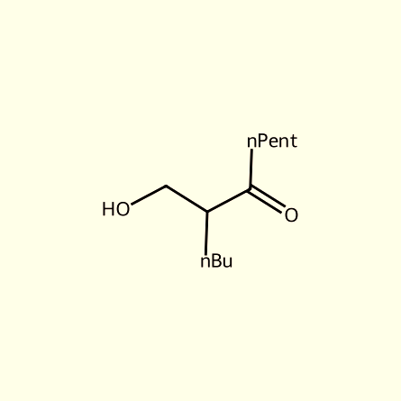 CCCCCC(=O)C(CO)CCCC